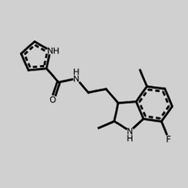 Cc1ccc(F)c2c1C(CCNC(=O)c1ccc[nH]1)C(C)N2